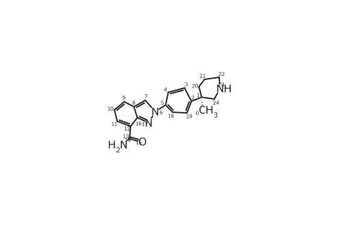 C[C@]1(c2ccc(-n3cc4cccc(C(N)=O)c4n3)cc2)CCCNC1